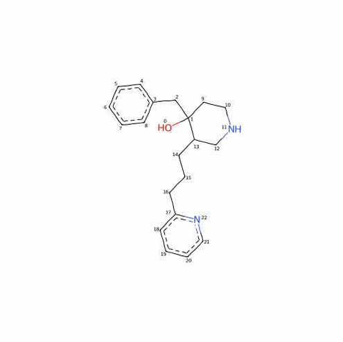 OC1(Cc2ccccc2)CCNCC1CCCc1ccccn1